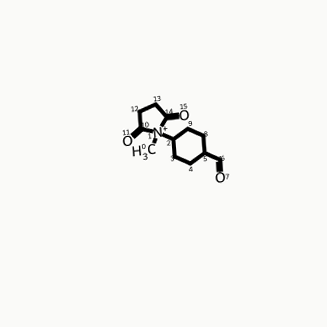 C[N+]1(C2CCC([C]=O)CC2)C(=O)CCC1=O